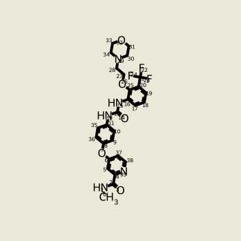 CNC(=O)c1cc(Oc2ccc(NC(=O)Nc3cccc(C(F)(F)F)c3OCCN3CCOCC3)cc2)ccn1